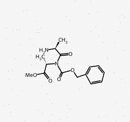 COC(=O)[C@H](C)N(C(=O)OCc1ccccc1)C(=O)[C@H](C)N